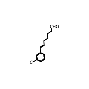 O=CCCCCC=Cc1cccc(Cl)c1